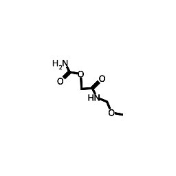 COCNC(=O)COC(N)=O